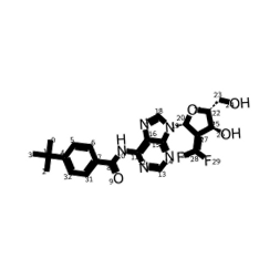 CC(C)(C)c1ccc(C(=O)Nc2ncnc3c2ncn3[C@@H]2O[C@H](CO)[C@@H](O)C2=C(F)F)cc1